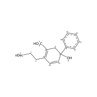 CCCCCCCCCCCCC1=C(C(=O)O)CC(O)(c2ccccc2)C=C1